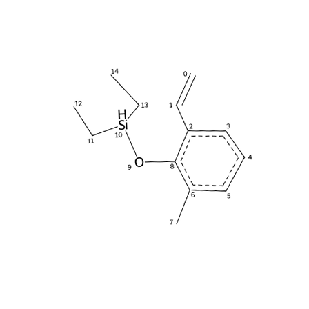 C=Cc1cccc(C)c1O[SiH](CC)CC